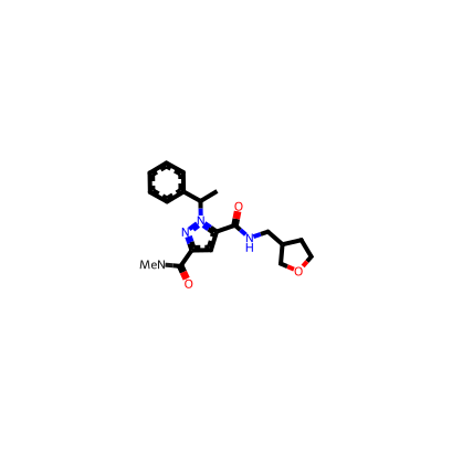 CNC(=O)c1cc(C(=O)NCC2CCOC2)n(C(C)c2ccccc2)n1